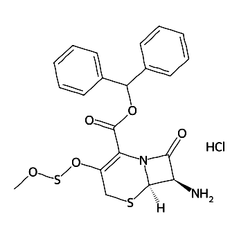 COSOC1=C(C(=O)OC(c2ccccc2)c2ccccc2)N2C(=O)[C@@H](N)[C@H]2SC1.Cl